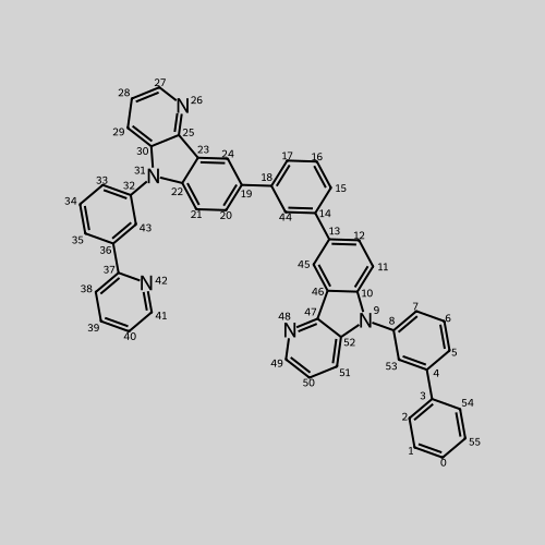 c1ccc(-c2cccc(-n3c4ccc(-c5cccc(-c6ccc7c(c6)c6ncccc6n7-c6cccc(-c7ccccn7)c6)c5)cc4c4ncccc43)c2)cc1